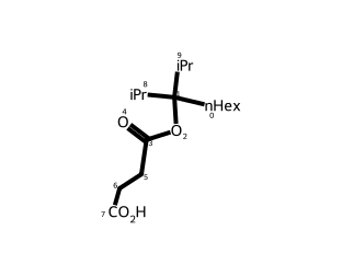 CCCCCCC(OC(=O)CCC(=O)O)(C(C)C)C(C)C